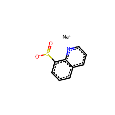 O=S([O-])c1cccc2cccnc12.[Na+]